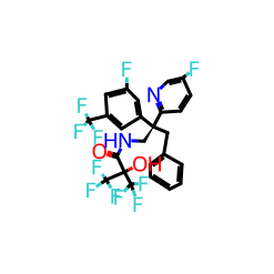 O=C(NC[C@@](Cc1ccccc1)(c1cc(F)cc(C(F)(F)F)c1)c1ccc(F)cn1)C(O)(C(F)(F)F)C(F)(F)F